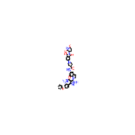 NC(=O)c1c(-c2ccc(Oc3ccccc3)cc2)n[nH]c1N1CCc2cc(NC(=O)C3CCN(c4ccc5c(c4)C(=O)N(C4CCC(=O)NC4=O)C5=O)CC3)ccc21